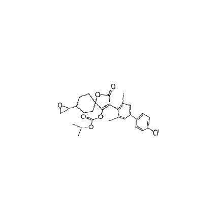 Cc1cc(-c2ccc(Cl)cc2)cc(C)c1C1=C(OC(=O)OC(C)C)C2(CCC(C3CO3)CC2)OC1=O